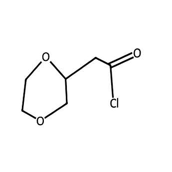 O=C(Cl)CC1COCCO1